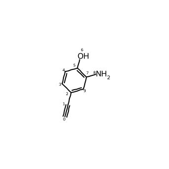 C#Cc1ccc(O)c(N)c1